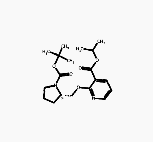 CC(C)OC(=O)c1cccnc1OC[C@@H]1CCCN1C(=O)OC(C)(C)C